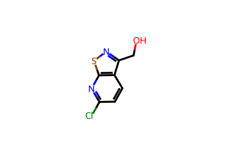 OCc1nsc2nc(Cl)ccc12